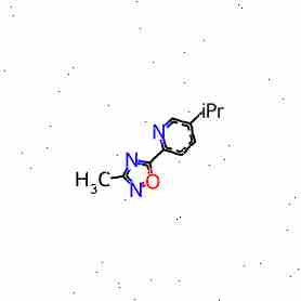 Cc1noc(-c2ccc(C(C)C)cn2)n1